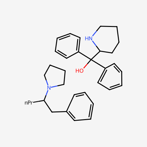 CCCC(Cc1ccccc1)N1CCCC1.OC(c1ccccc1)(c1ccccc1)C1CCCCN1